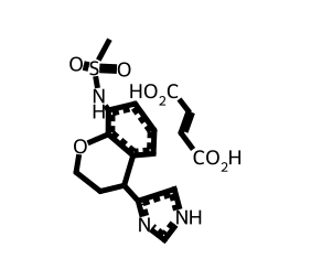 CS(=O)(=O)Nc1cccc2c1OCCC2c1c[nH]cn1.O=C(O)C=CC(=O)O